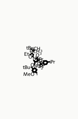 CC[C@H]1O[C@@H](n2cc(CO[C@H](c3cc(OC)c(I)cc3[N+](=O)[O-])C(C)(C)C)c(OS(=O)(=O)c3c(C(C)C)cc(C(C)C)cc3C(C)C)nc2=O)C[C@H]1O[Si](C)(C)C(C)(C)C